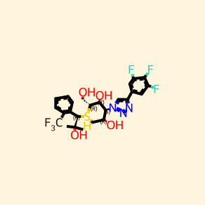 CC(C)(O)[C@@H](c1ccccc1C(F)(F)F)[SH]1C[C@H](O)[C@H](n2cc(-c3cc(F)c(F)c(F)c3)nn2)[C@@H](O)[C@H]1CO